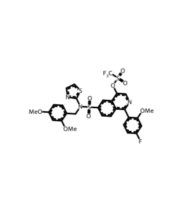 COc1ccc(CN(c2nccs2)S(=O)(=O)c2ccc3c(-c4ccc(F)cc4OC)ncc(OS(=O)(=O)C(F)(F)F)c3c2)c(OC)c1